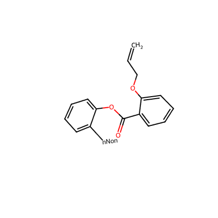 C=CCOc1ccccc1C(=O)Oc1ccccc1CCCCCCCCC